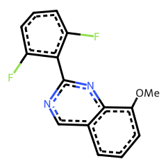 COc1cccc2cnc(-c3c(F)cccc3F)nc12